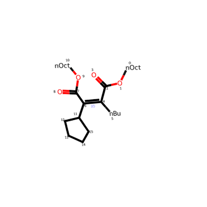 CCCCCCCCOC(=O)/C(CCCC)=C(\C(=O)OCCCCCCCC)C1CCCC1